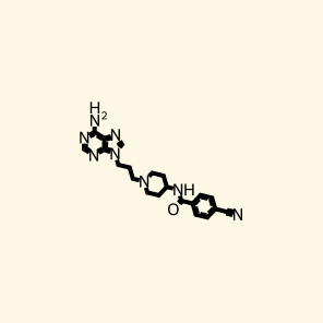 N#Cc1ccc(C(=O)NC2CCN(CCCn3cnc4c(N)ncnc43)CC2)cc1